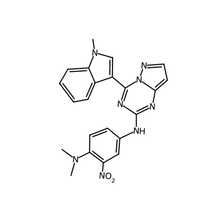 CN(C)c1ccc(Nc2nc(-c3cn(C)c4ccccc34)n3nccc3n2)cc1[N+](=O)[O-]